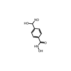 O=NC(O)c1ccc(C(=O)NO)cc1